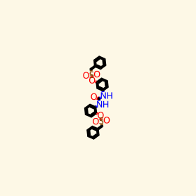 O=C(Nc1cccc(OS(=O)(=O)Cc2ccccc2)c1)Nc1ccccc1OS(=O)(=O)Cc1ccccc1